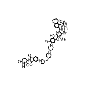 CCc1cc(Nc2ncc(Br)c(Nc3ccc4nccnc4c3P(C)(C)=O)n2)c(OC)cc1N1CCC(N2CCN(CC3CCN(c4ccc5c(c4)C(=O)N(C4CCC(=O)NC4=O)C5=O)C3)CC2)CC1